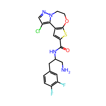 NCC(Cc1ccc(F)c(F)c1)NC(=O)c1cc2c(s1)OCCn1ncc(Cl)c1-2